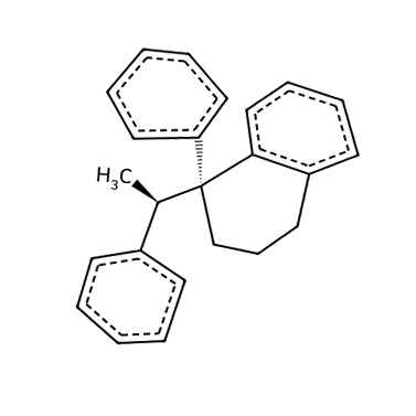 C[C@H](c1ccccc1)[C@]1(c2ccccc2)CCCc2ccccc21